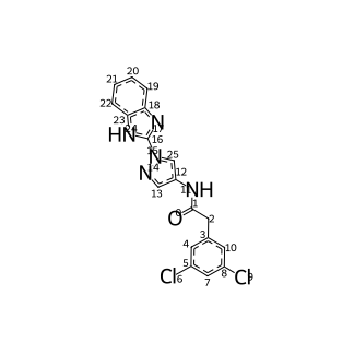 O=C(Cc1cc(Cl)cc(Cl)c1)Nc1cnn(-c2nc3ccccc3[nH]2)c1